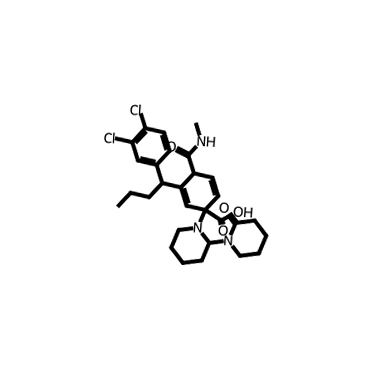 CCCC(C1=CC(C(=O)O)(N2CCCCC2N2CCCCC2=O)C=CC1C(=O)NC)c1ccc(Cl)c(Cl)c1